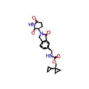 O=C1CCC(N2Cc3ccc(CNC(=O)OCC4(C5CC5)CC4)cc3C2=O)C(=O)N1